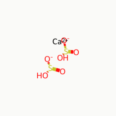 O=S([O-])O.O=S([O-])O.[Ca+2]